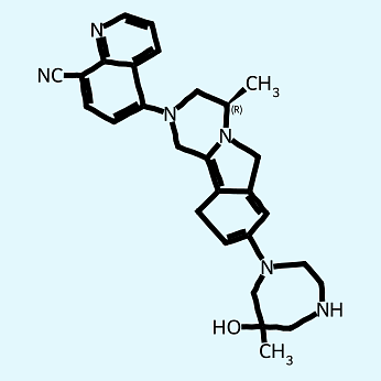 C[C@@H]1CN(c2ccc(C#N)c3ncccc23)CC2=C3CC=C(N4CCNCC(C)(O)C4)C=C3CN21